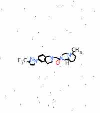 CC1CCC[C@H]2CN(C(=O)CN3CCc4cc(-n5ccc(C(F)(F)F)n5)ccc4C3)CCN12